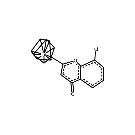 O=c1cc([C]23[CH]4[CH]5[CH]6[CH]2[Fe]56432789[CH]3[CH]2[CH]7[CH]8[CH]39)oc2c(Cl)cccc12